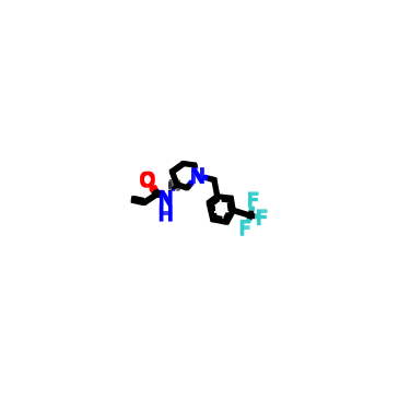 C=CC(=O)N[C@@H]1CCCN(Cc2cccc(C(F)(F)F)c2)C1